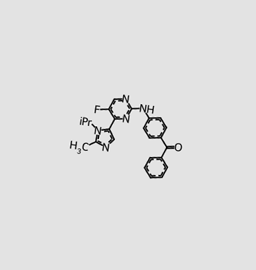 Cc1ncc(-c2nc(Nc3ccc(C(=O)c4ccccc4)cc3)ncc2F)n1C(C)C